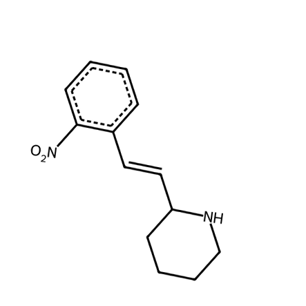 O=[N+]([O-])c1ccccc1C=CC1CCCCN1